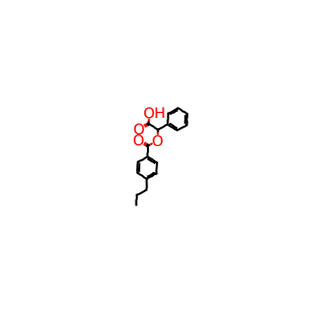 CCCc1ccc(C(=O)OC(C(=O)O)c2ccccc2)cc1